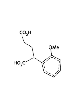 COc1ccccc1C(CCC(=O)O)C(=O)O